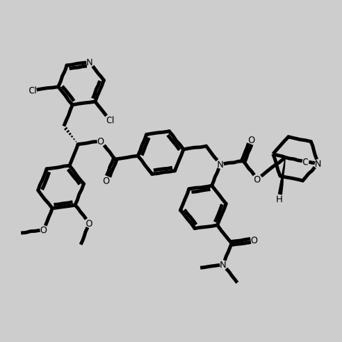 COc1ccc([C@H](Cc2c(Cl)cncc2Cl)OC(=O)c2ccc(CN(C(=O)O[C@H]3CN4CCC3CC4)c3cccc(C(=O)N(C)C)c3)cc2)cc1OC